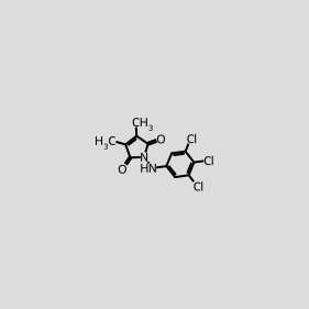 CC1=C(C)C(=O)N(Nc2cc(Cl)c(Cl)c(Cl)c2)C1=O